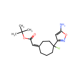 CC(C)(C)OC(=O)/C=C1/CCCC(F)(c2cc(N)on2)CC1